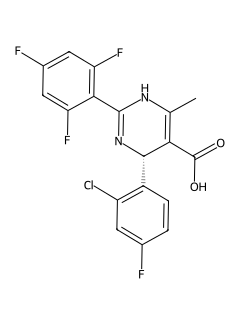 CC1=C(C(=O)O)[C@H](c2ccc(F)cc2Cl)N=C(c2c(F)cc(F)cc2F)N1